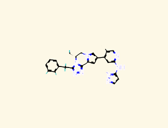 Cc1cnc(Nc2ccnn2C)cc1-c1cc2n(c1)C[C@H](CF)n1c-2nnc1C(F)(F)c1cccc(F)c1F